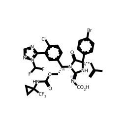 C=C(C)C[C@]1(c2ccc(Br)cc2)N/C(=N\C(=O)O)N([C@H](COC(=O)NC2(C(F)(F)F)CC2)c2ccc(Cl)c(-c3ncnn3C(F)F)c2)C1=O